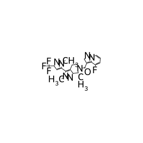 CC1c2nn(C)c(-c3cc(C(F)(F)F)nn3C)c2CCN1C(=O)c1cnn2cccc(F)c12